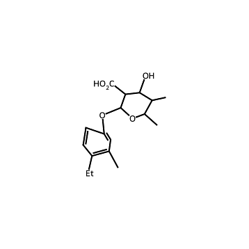 CCc1ccc(OC2OC(C)C(C)C(O)C2C(=O)O)cc1C